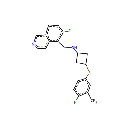 Fc1ccc(SC2CC(NCc3c(F)ccc4cnccc34)C2)cc1C(F)(F)F